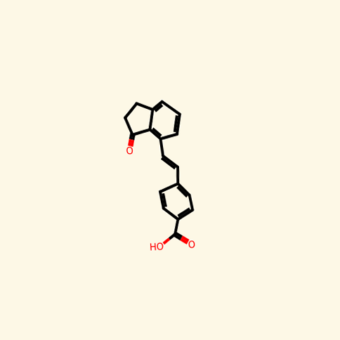 O=C(O)c1ccc(C=Cc2cccc3c2C(=O)CC3)cc1